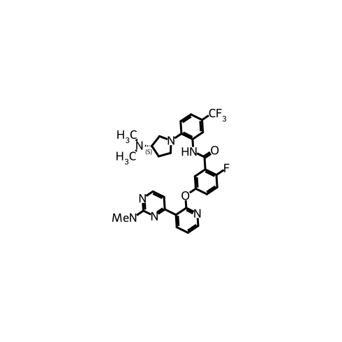 CNc1nccc(-c2cccnc2Oc2ccc(F)c(C(=O)Nc3cc(C(F)(F)F)ccc3N3CC[C@H](N(C)C)C3)c2)n1